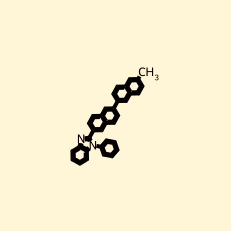 Cc1ccc2cc(-c3ccc4cc(-c5nc6ccccc6n5-c5ccccc5)ccc4c3)ccc2c1